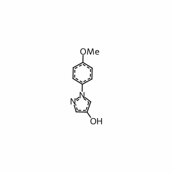 COc1ccc(-n2cc(O)cn2)cc1